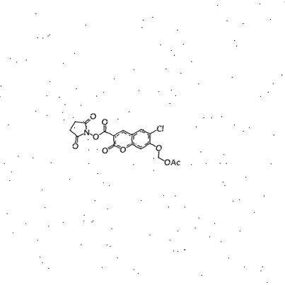 CC(=O)OCOc1cc2oc(=O)c(C(=O)ON3C(=O)CCC3=O)cc2cc1Cl